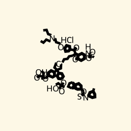 CCC(C)(Oc1ccc(C2(c3ccc(OC(C)(CC)C(=O)O)cc3)CCCCC2)cc1)C(=O)O.CCCCc1oc2ccc(NS(C)(=O)=O)cc2c1C(=O)c1ccc(OCCCN(CCCC)CCCC)cc1.Cc1cccc(N(C)C(=S)Oc2ccc3c(c2)C2CCC3C2)c1.Cl